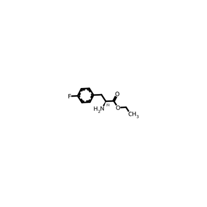 CCOC(=O)[C@@H](N)Cc1ccc(F)cc1